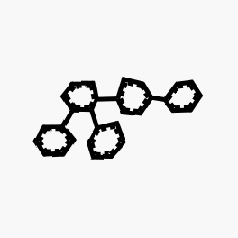 c1ccc(-c2ccc(-c3cccc(-c4ccccc4)c3-c3ccccc3)cc2)cc1